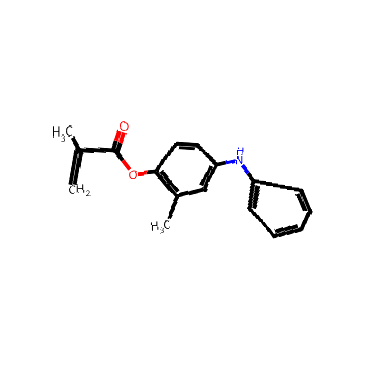 C=C(C)C(=O)Oc1ccc(Nc2ccccc2)cc1C